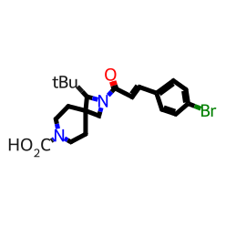 CC(C)(C)C1N(C(=O)C=Cc2ccc(Br)cc2)CC12CCN(C(=O)O)CC2